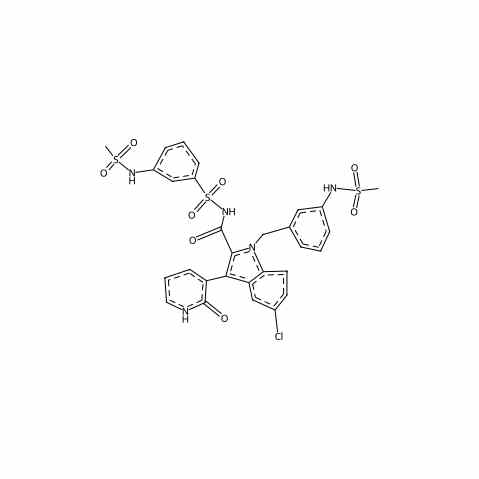 CS(=O)(=O)Nc1cccc(Cn2c(C(=O)NS(=O)(=O)c3cccc(NS(C)(=O)=O)c3)c(-c3ccc[nH]c3=O)c3cc(Cl)ccc32)c1